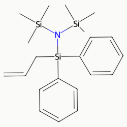 C=CC[Si](c1ccccc1)(c1ccccc1)N([Si](C)(C)C)[Si](C)(C)C